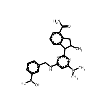 CC1Cc2c(C(N)=O)cccc2C1c1nc(NCc2cccc(B(O)O)c2)cc(N(C)C)n1